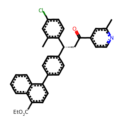 CCOC(=O)c1ccc(-c2ccc([C@@H](CC(=O)c3ccnc(C)c3)c3ccc(Cl)cc3C)cc2)c2ccccc12